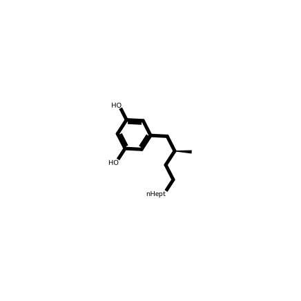 CCCCCCCCC[C@H](C)Cc1cc(O)cc(O)c1